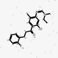 CCN(C)/C=N\c1cc(Cl)c(C(=O)CCc2ccccc2F)cc1C